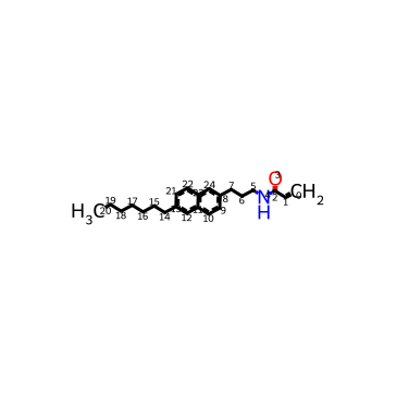 C=CC(=O)NCCCc1ccc2cc(CCCCCCC)ccc2c1